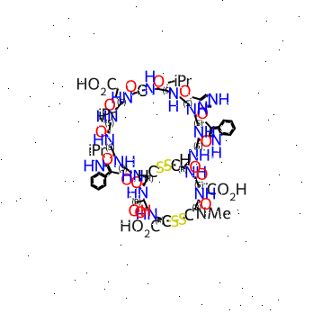 CN[C@H]1CSSC[C@@H](C(=O)O)NC(=O)C([C@@H](C)O)NC(=O)[C@@H]2CSSC[C@H](NC(=O)[C@H](CC(=O)O)NC1=O)C(=O)N[C@@H](C)C(=O)N[C@@H](Cc1c[nH]c3ccccc13)C(=O)N[C@@H](Cc1c[nH]cn1)C(=O)N[C@@H](CC(C)C)C(=O)NCC(=O)N[C@@H](CCC(=O)O)C(=O)N[C@@H](CC(C)C)C(=O)N[C@@H](C(C)C)C(=O)N[C@@H](Cc1c[nH]c3ccccc13)C(=O)N2